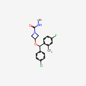 CCCNC(=O)N1CC(OC(c2ccc(Cl)cc2)c2ccc(F)cc2C(F)(F)F)C1